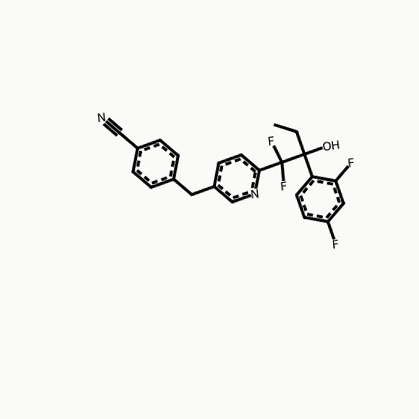 CCC(O)(c1ccc(F)cc1F)C(F)(F)c1ccc(Cc2ccc(C#N)cc2)cn1